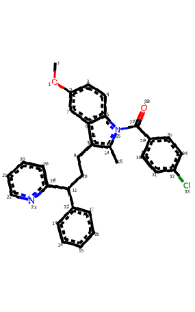 COc1ccc2c(c1)c(CCC(c1ccccc1)c1ccccn1)c(C)n2C(=O)c1ccc(Cl)cc1